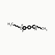 CCCCCCCOc1c(F)cc(C2CCC(C3CC[SiH](CCCCC)CC3)CC2)cc1F